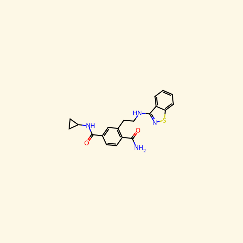 NC(=O)c1ccc(C(=O)NC2CC2)cc1CCNc1nsc2ccccc12